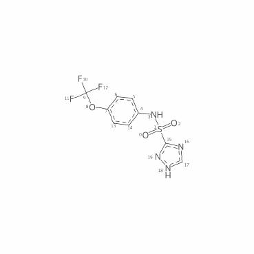 O=S(=O)(Nc1ccc(OC(F)(F)F)cc1)c1nc[nH]n1